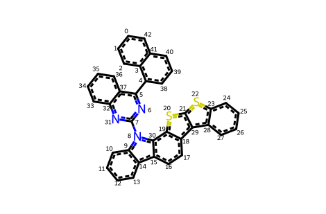 c1ccc2c(-c3nc(-n4c5ccccc5c5ccc6c(sc7sc8ccccc8c76)c54)nc4ccccc34)cccc2c1